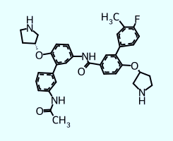 CC(=O)Nc1cccc(-c2cc(NC(=O)c3ccc(O[C@H]4CCNC4)c(-c4ccc(F)c(C)c4)c3)ccc2O[C@@H]2CCNC2)c1